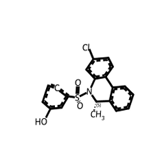 C[C@H]1c2ccccc2-c2ccc(Cl)cc2N1S(=O)(=O)c1cccc(O)c1